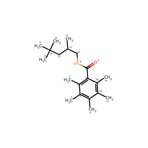 Cc1c(C)c(C)c(C(=O)PCC(C)CC(C)(C)C)c(C)c1C